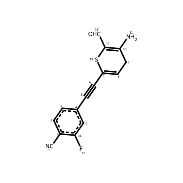 N#Cc1ccc(C#CC2=CCC(N)=C(C=O)S2)cc1F